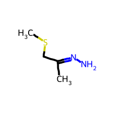 CSCC(C)=NN